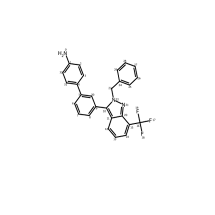 Nc1ccc(-c2cccc(-c3c4cccc(C(F)(F)F)c4nn3Cc3ccccc3)c2)cc1